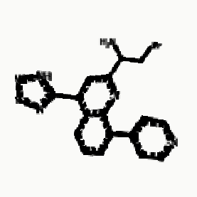 CC(C)CC(N)c1cc(-c2nnn[nH]2)c2cccc(-c3ccncc3)c2n1